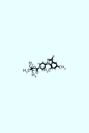 Cc1cc(C)c2c(c1)c(I)nn2C1CCN(C(=O)OC(C)(C)C)CC1